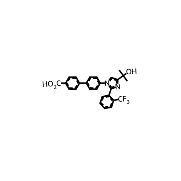 CC(C)(O)c1cn(-c2ccc(-c3ccc(C(=O)O)cc3)cc2)c(-c2ccccc2C(F)(F)F)n1